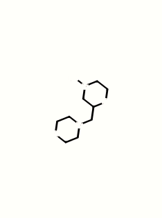 CN1CCOC(CN2CCSCC2)C1